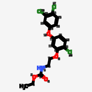 CCOC(=O)NCCOc1cc(Oc2ccc(Cl)c(Cl)c2)ccc1Cl